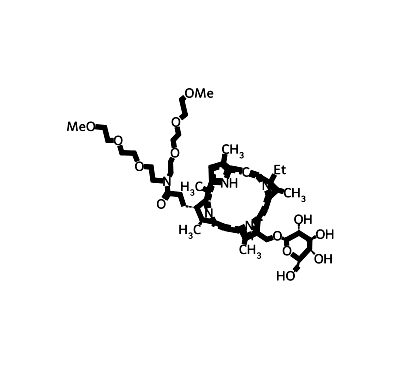 CCC1=C(C)c2cc3[nH]c(cc4nc(c(C)c5cc(C)c(cc1n2)[nH]5)[C@@H](CCC(=O)N(CCOCCOCCOC)CCOCCOCCOC)[C@@H]4C)c(C)c3CO[C@@H]1O[C@H](CO)[C@@H](O)[C@H](O)[C@H]1O